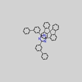 c1ccc(-c2cccc(-c3nc(-c4cccc(-c5ccccc5)c4)nc(-c4cccc5c4C4(c6ccccc6-c6ccccc64)c4ccccc4-5)n3)c2)cc1